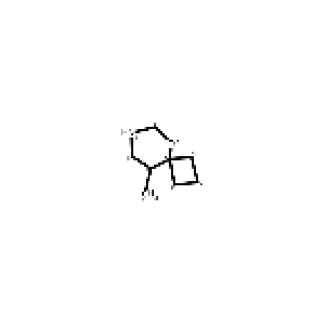 CC1CNCOC12CCC2